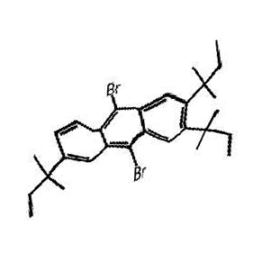 CCC(C)(C)c1ccc2c(Br)c3cc(C(C)(C)CC)c(C(C)(C)CC)cc3c(Br)c2c1